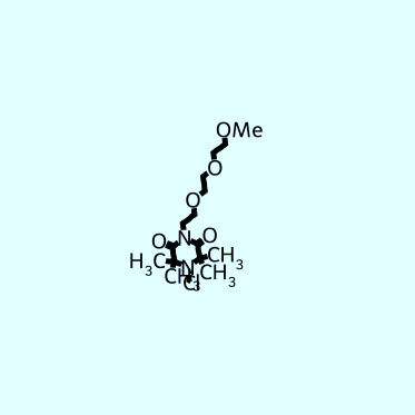 COCCOCCOCCN1C(=O)C(C)(C)N(Cl)C(C)(C)C1=O